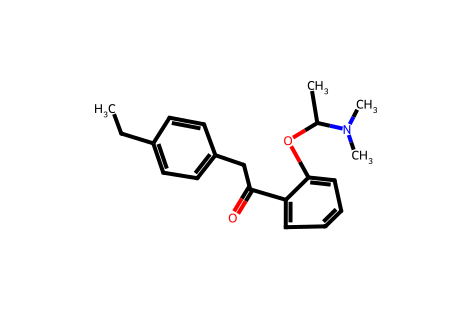 CCc1ccc(CC(=O)c2ccccc2OC(C)N(C)C)cc1